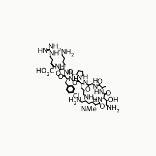 CN[C@@H](CCCCN)C(=O)N[C@H](C(=O)NC(C)C(=O)NCC(=O)N[C@H](CCCN)C(=O)N1CCC[C@H]1C(=O)N[C@@H](Cc1ccc(Cl)cc1)C(=O)N[C@@H](CCCCN)C(=O)N/C(=C\CCNC(=N)N)C(=O)O)[C@@H](O)CN